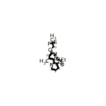 CCS(=O)(=O)c1cccnc1-c1nnc(OCC(C)(F)F)cc1C